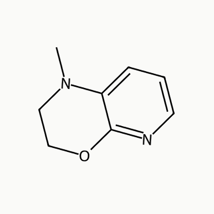 CN1CCOc2ncccc21